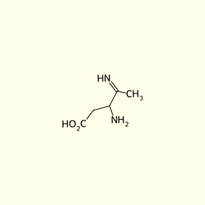 CC(=N)C(N)CC(=O)O